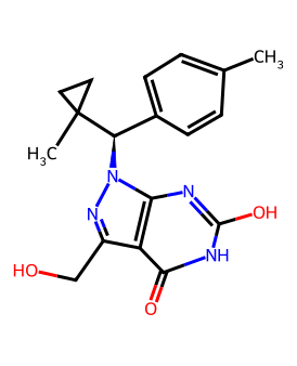 Cc1ccc([C@@H](n2nc(CO)c3c(=O)[nH]c(O)nc32)C2(C)CC2)cc1